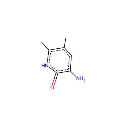 Cc1cc(N)c(=O)[nH]c1C